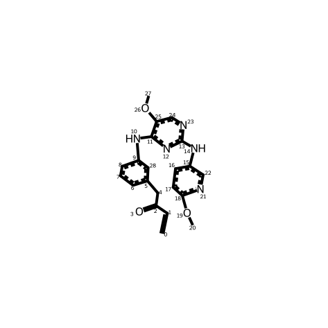 C=CC(=O)Cc1cccc(Nc2nc(Nc3ccc(OC)nc3)ncc2OC)c1